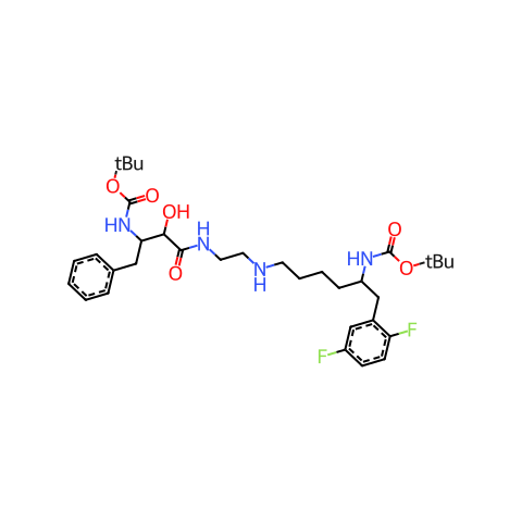 CC(C)(C)OC(=O)NC(CCCCNCCNC(=O)C(O)C(Cc1ccccc1)NC(=O)OC(C)(C)C)Cc1cc(F)ccc1F